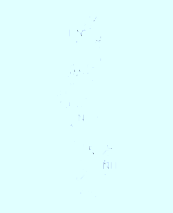 COC(=O)C(CC(=O)N1CCC(N2Cc3ccccc3NC2=O)CC1)Cc1ccc2[nH]c(=O)oc2c1